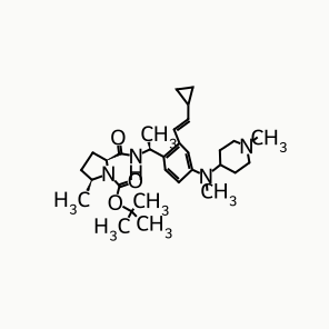 C[C@H](NC(=O)[C@@H]1CC[C@H](C)N1C(=O)OC(C)(C)C)c1ccc(N(C)C2CCN(C)CC2)cc1/C=C/C1CC1